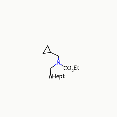 CCCCCCCCN(CC1CC1)C(=O)OCC